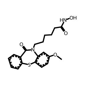 COc1ccc2c(c1)N(CCCCCC(=O)NO)C(=O)c1ccccc1S2